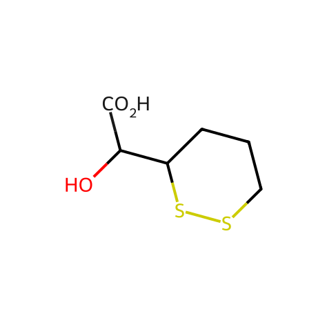 O=C(O)C(O)C1CCCSS1